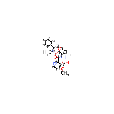 COc1ccnc(C(=O)N[C@@H](C)C(=O)ON(C)C(C)c2ccccc2)c1O